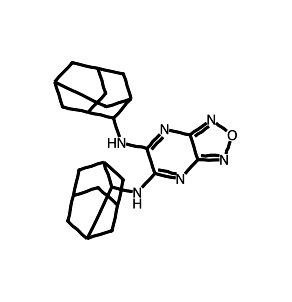 C1C2CC3CC1CC(C2)C3Nc1nc2nonc2nc1NC1C2CC3CC(C2)CC1C3